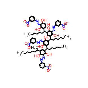 CCCCCCC(C)c1cc(C(CCCCCC)c2cc(C(CCCCCC)c3cc(C(CCCCCC)c4ccc(O)c(N=Nc5cccc([N+](=O)[O-])c5)c4O)c(O)c(N=Nc4cccc([N+](=O)[O-])c4)c3O)c(O)c(N=Nc3cccc([N+](=O)[O-])c3)c2O)c(O)c(N=Nc2cccc([N+](=O)[O-])c2)c1O